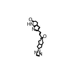 O=C1CCc2cc(/C=C/C(=O)N3CC4CC(n5nccn5)CC4C3)cnc2N1